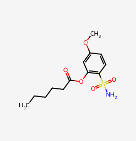 CCCCCC(=O)Oc1cc(OC)ccc1S(N)(=O)=O